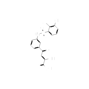 O=C(O)/C(O)=C/C(=O)c1cccc(NS(=O)(=O)c2cccc(Cl)c2Cl)c1